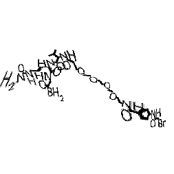 BC(=O)CNC(=O)[C@H](CCCNC(N)=O)NC(=O)C(NC(=O)CCOCCOCCOCCOCCNC(=O)c1ccc(NC(=O)CBr)cc1)C(C)C